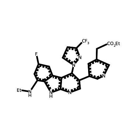 CCNc1cc(F)cc2c1[nH]c1ncc(-c3cncc(CC(=O)OCC)c3)c(-n3ccc(C(F)(F)F)n3)c12